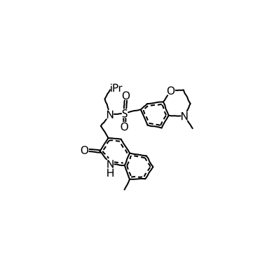 Cc1cccc2cc(CN(CC(C)C)S(=O)(=O)c3ccc4c(c3)OCCN4C)c(=O)[nH]c12